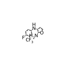 Nc1occc1Nc1ccc(F)c(C(F)(F)F)c1